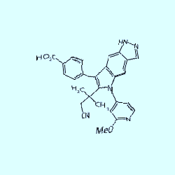 COc1cc(-n2c(C(C)(C)CC#N)c(-c3ccc(C(=O)O)cc3)c3cc4[nH]ncc4cc32)ccn1